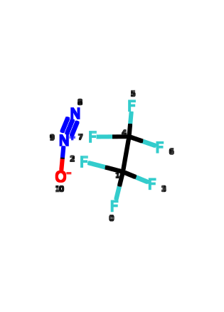 FC(F)(F)C(F)(F)F.N#[N+][O-]